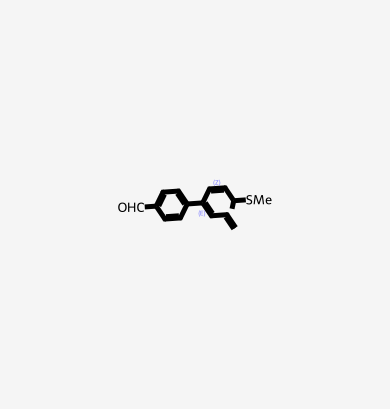 C=C/C=C(\C=C/C(C)SC)c1ccc(C=O)cc1